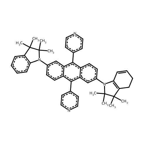 CC1(C)C2=C(C=CCC2)N(c2ccc3c(-c4ccncc4)c4cc(N5c6ccccc6C(C)(C)C5(C)C)ccc4c(-c4ccncc4)c3c2)C1(C)C